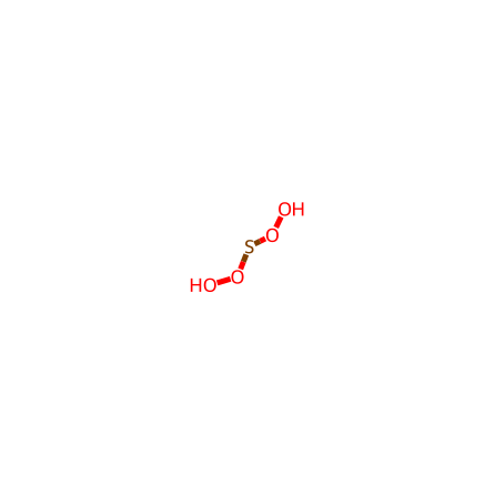 OOSOO